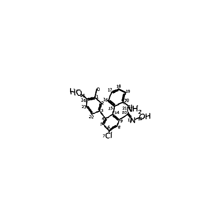 Cc1cc(-c2cc(Cl)cc(/C(N)=N/O)c2-c2ccccc2C)ccc1O